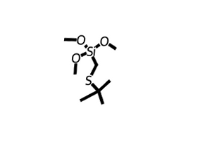 CO[Si](CSC(C)(C)C)(OC)OC